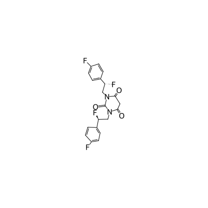 O=C1CC(=O)N(C[C@H](F)c2ccc(F)cc2)C(=O)N1C[C@@H](F)c1ccc(F)cc1